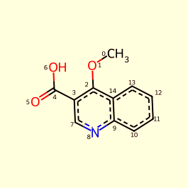 COc1c(C(=O)O)cnc2ccccc12